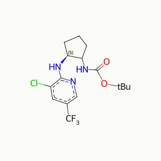 CC(C)(C)OC(=O)NC1CCC[C@@H]1Nc1ncc(C(F)(F)F)cc1Cl